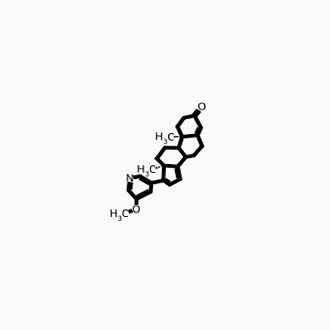 COc1cncc(C2=CC=C3C4CCC5=CC(=O)CC[C@]5(C)C4CC[C@]23C)c1